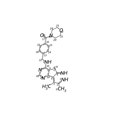 CC(=N)/C(C)=C1\C(=N)Sc2c(NCc3ccc(C(=O)N4CCOCC4)cc3)ncnc21